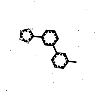 Cc1cccc(-c2cccc(-c3nnn[nH]3)c2)c1